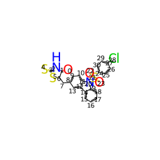 O=C1NC(=S)SC1Cc1ccc2c(c1)c1ccccc1n2S(=O)(=O)c1ccc(Cl)cc1